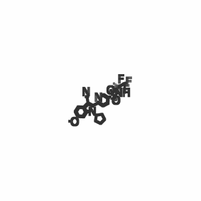 COc1ccc2c(C#N)c(-c3ccc(S(=O)(=O)N[C@H](C)C(F)(F)F)cn3)n(C3CCCC3)c2c1